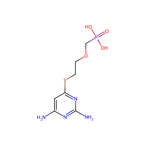 Nc1cc(SCCOCP(=O)(O)O)nc(N)n1